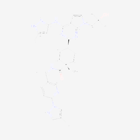 CO[C@]1(C(=O)N[C@@H](C)c2ccc(-n3cc(F)cn3)nc2)CC[C@H](c2nc(Nc3cc(C)[nH]n3)c3ccn(CC(C)(C)O)c3n2)CC1